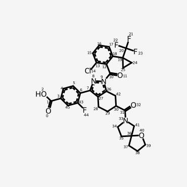 O=C(O)c1ccc(-c2nn(C(=O)c3c(Cl)cccc3C3(C(F)(F)F)CC3)c3c2CCC(C(=O)N2CCC4(CCCO4)C2)C3)c(F)c1